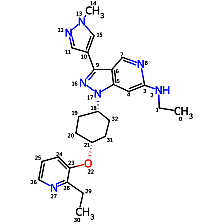 CCNc1cc2c(cn1)c(-c1cnn(C)c1)nn2[C@H]1CC[C@@H](Oc2cccnc2CC)CC1